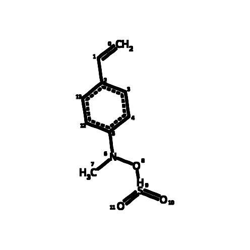 C=Cc1ccc(N(C)O[SH](=O)=O)cc1